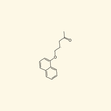 CC(=O)C[CH]COc1cccc2ccccc12